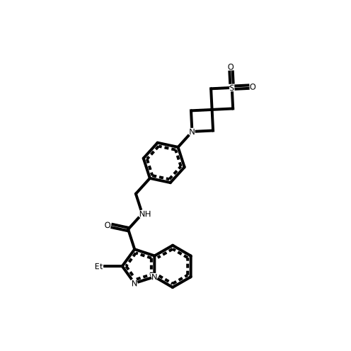 CCc1nn2ccccc2c1C(=O)NCc1ccc(N2CC3(C2)CS(=O)(=O)C3)cc1